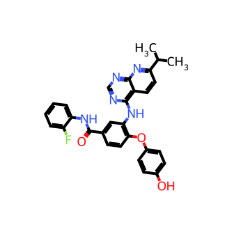 CC(C)c1ccc2c(Nc3cc(C(=O)Nc4ccccc4F)ccc3Oc3ccc(O)cc3)ncnc2n1